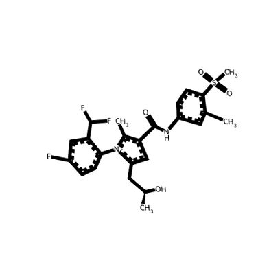 Cc1cc(NC(=O)c2cc(C[C@H](C)O)n(-c3ccc(F)cc3C(F)F)c2C)ccc1S(C)(=O)=O